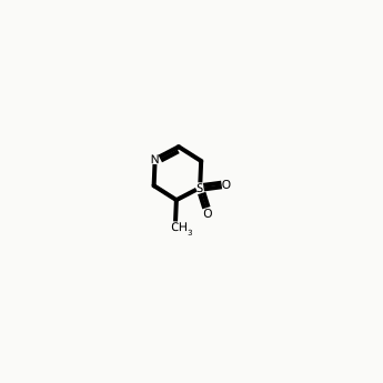 CC1CN=CCS1(=O)=O